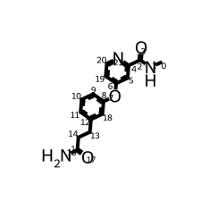 CNC(=O)c1cc(Oc2cccc(CCC(N)=O)c2)ccn1